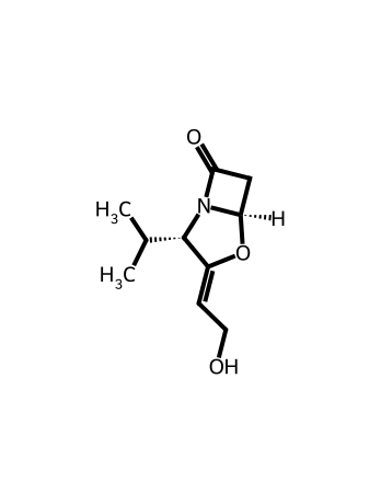 CC(C)[C@H]1/C(=C/CO)O[C@@H]2CC(=O)N12